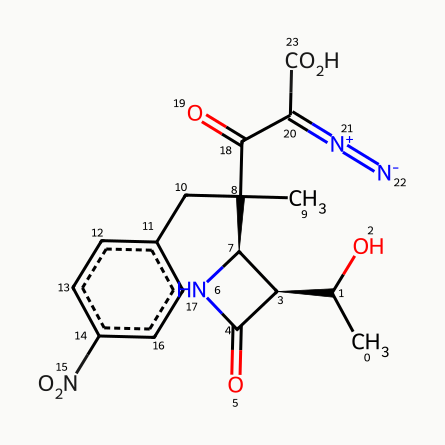 CC(O)[C@H]1C(=O)N[C@H]1C(C)(Cc1ccc([N+](=O)[O-])cc1)C(=O)C(=[N+]=[N-])C(=O)O